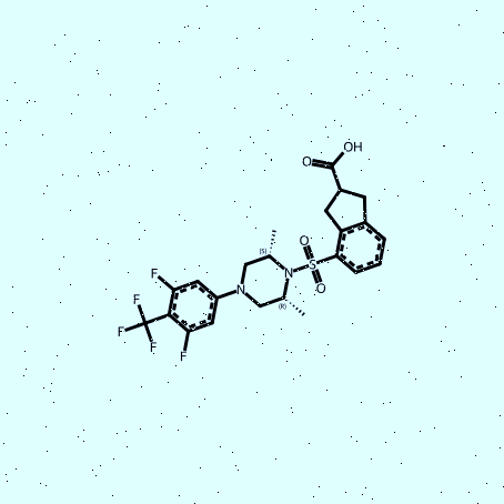 C[C@@H]1CN(c2cc(F)c(C(F)(F)F)c(F)c2)C[C@H](C)N1S(=O)(=O)c1cccc2c1CC(C(=O)O)C2